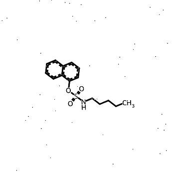 CCCCCNS(=O)(=O)Oc1cccc2ccccc12